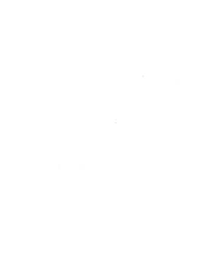 CS(=O)(=O)c1ccc(OC(=O)c2ccc(O)cc2)cc1